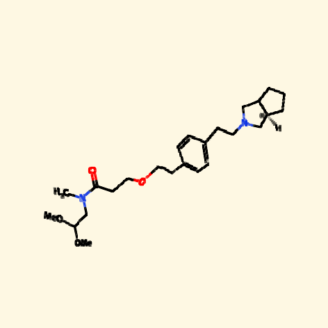 COC(CN(C)C(=O)CCOCCc1ccc(CCN2CC3CCC[C@H]3C2)cc1)OC